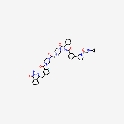 O=C(N[C@@H](C(=O)N1CCN(CC(=O)N2CCN(C(=O)c3cc(Cc4n[nH]c(=O)c5ccccc45)ccc3F)CC2)CC1)C1CCCCC1)c1cccc(C2CCCN(C(=O)CNC3CC3)C2)c1